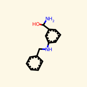 NC(O)c1cccc(NCc2ccccc2)c1